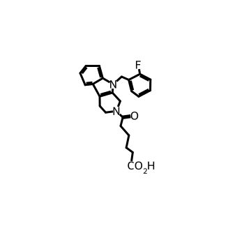 O=C(O)CCCCC(=O)N1CCc2c(n(Cc3ccccc3F)c3ccccc23)C1